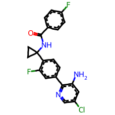 Nc1cc(Cl)cnc1-c1ccc(C2(NC(=O)c3ccc(F)cc3)CC2)c(F)c1